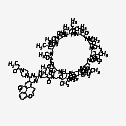 C=CC(=O)N1CCN(c2nc(NCCC(=O)NCC[C@@H](C)[C@@H](O)[C@H]3C(=O)N[C@@H](CC)C(=O)N(C)CC(=O)N(C)[C@@H](CC(C)C)C(=O)NC(C(C)C)C(=O)N(C)[C@@H](CC(C)C)C(=O)N[C@@H](C)C(=O)N[C@H](C)C(=O)N(C)[C@@H](CC(C)C)C(=O)N(C)[C@@H](CC(C)C)C(=O)N(C)[C@@H](C(C)C)C(=O)N3C)nc3c4c(c(Cl)cc23)-c2c(F)cccc2OC/C=C/4)CC1